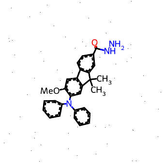 COc1cc2c(cc1N(c1ccccc1)c1ccccc1)C(C)(C)c1cc(C(=O)NN)ccc1-2